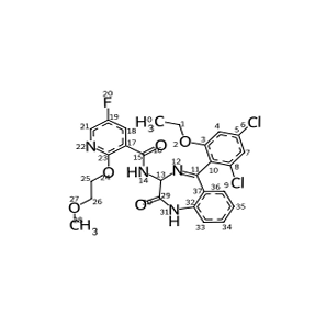 CCOc1cc(Cl)cc(Cl)c1C1=NC(NC(=O)c2cc(F)cnc2OCCOC)C(=O)Nc2ccccc21